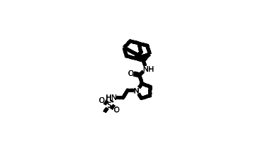 CS(=O)(=O)NCCN1CCCC1C(=O)NC1C2CC3CC(C2)CC1C3